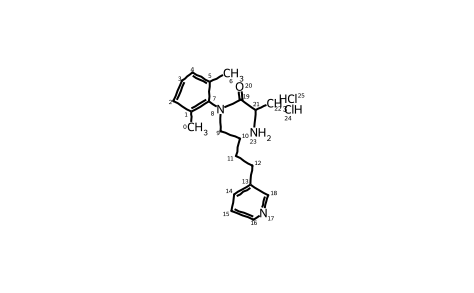 Cc1cccc(C)c1N(CCCCc1cccnc1)C(=O)C(C)N.Cl.Cl